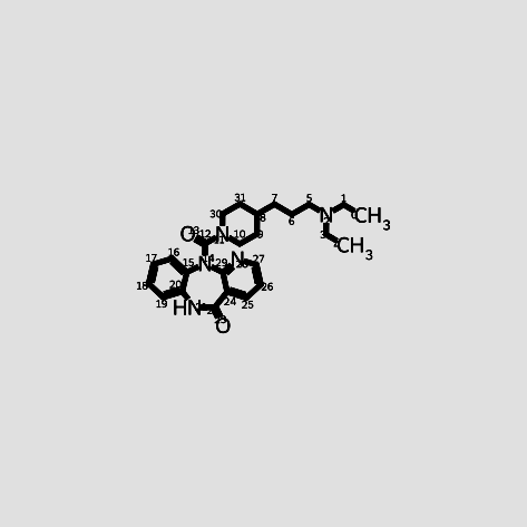 CCN(CC)CCCC1CCN(C(=O)N2c3ccccc3NC(=O)c3cccnc32)CC1